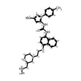 Cc1ccc(-n2nc(C(C)(C)C)cc2NC(=O)Nc2ccc(OCCN3CCOC(CNC(C)C)C3)c3ccccc23)cc1